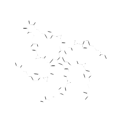 C=CC(=O)OCOc1ccc(C2CC2C(=O)Oc2cc3c4cc(OC(=O)C5CC5c5ccc(OCOC(=O)C=C)cc5)c(OC(=O)C5CC5c5ccc(OCOC(=O)C=C)cc5)cc4c4cc(OC(=O)C5CC5c5ccc(OCOC(=O)C=C)cc5)c(OC(=O)C5CC5c5ccc(OCOC(=O)C=C)cc5)cc4c3cc2OC(=O)C2CC2c2ccc(OCOC(=O)C=C)cc2)cc1